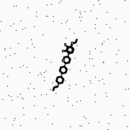 CCC[C@H]1CC[C@H](C2CCC([C@H]3CC[C@H](c4ccc(OCC)c(F)c4F)CO3)CC2)CC1